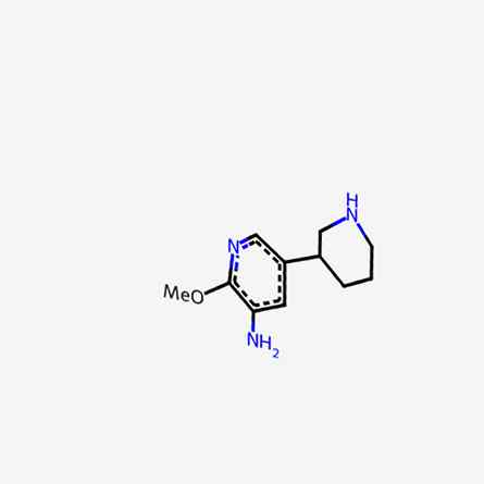 COc1ncc(C2CCCNC2)cc1N